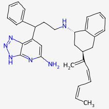 C=C(/C=C\C=C/C)[C@@H]1Cc2ccccc2[C@@H](NCCC(c2ccccc2)c2cc(N)nc3[nH]nnc23)C1